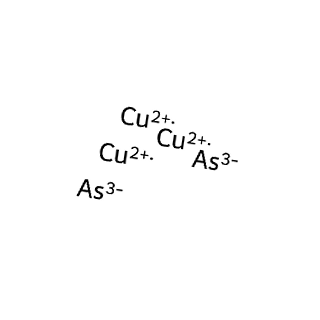 [As-3].[As-3].[Cu+2].[Cu+2].[Cu+2]